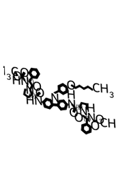 CCCCCCOc1ccc(Cn2c3cc(NC(=O)[C@@H]4CCCN4C(=O)[C@H](NC(=O)OC)c4ccccc4)ccc3c3ccc(NC(=O)[C@@H]4CCCN4C(=O)[C@H](NC(=O)OC)c4ccccc4)cc32)cc1